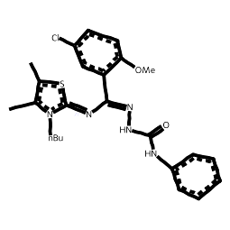 CCCCn1c(C)c(C)s/c1=N\C(=NNC(=O)Nc1ccccc1)c1cc(Cl)ccc1OC